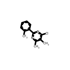 Cc1nc(-c2ccccc2C(F)(F)F)nc(Cl)c1C